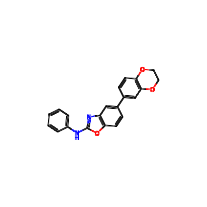 c1ccc(Nc2nc3cc(-c4ccc5c(c4)OCCO5)ccc3o2)cc1